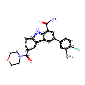 COc1cc(-c2cc(C(N)=O)c3[nH]c4ccc(C(=O)N5CCOCC5)cc4c3c2)ccc1F